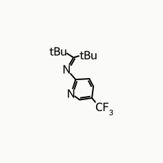 CC(C)(C)C(=Nc1ccc(C(F)(F)F)cn1)C(C)(C)C